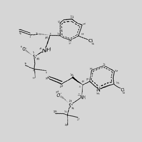 C=CC[C@@H](N[S@@+]([O-])C(C)(C)C)c1cccc(Cl)n1.C=CC[C@H](N[S@@+]([O-])C(C)(C)C)c1cccc(Cl)n1